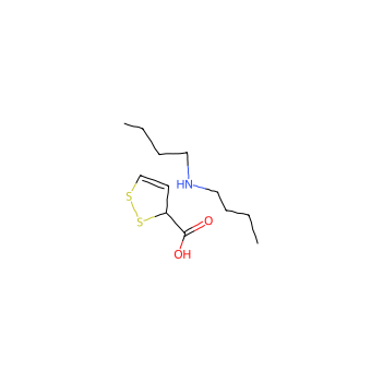 CCCCNCCCC.O=C(O)C1C=CSS1